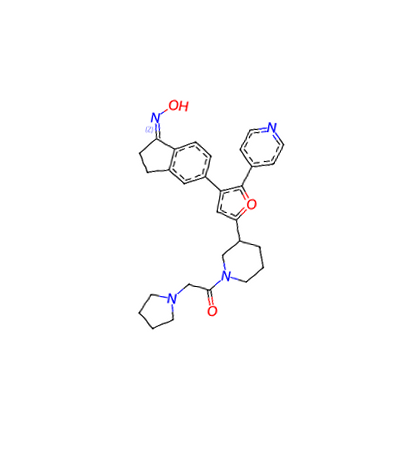 O=C(CN1CCCC1)N1CCCC(c2cc(-c3ccc4c(c3)CC/C4=N/O)c(-c3ccncc3)o2)C1